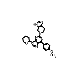 COc1ccc(-c2nc(N3CCc4nc[nH]c4C3)nc3c2ncn3C2CCCCO2)cc1